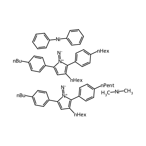 CCCCCCC1=C(c2ccc(CCCCC)cc2)[N+](=[N-])C(c2ccc(CCCC)cc2)=C1.CCCCCCC1=C(c2ccc(CCCCCC)cc2)[N+](=[N-])C(c2ccc(CCCC)cc2)=C1.[CH3][Ni][CH3].c1cc[c]([Ni][c]2ccccc2)cc1